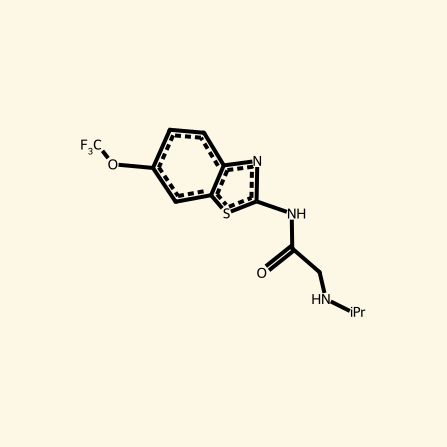 CC(C)NCC(=O)Nc1nc2ccc(OC(F)(F)F)cc2s1